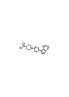 CCN(CC)C1CCN(c2ccc(-n3ncc4[c]ncnc43)cc2)CC1